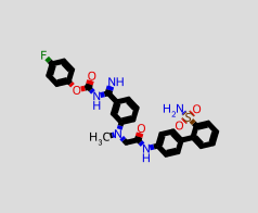 CN(CC(=O)Nc1ccc(-c2ccccc2S(N)(=O)=O)cc1)c1cccc(C(=N)NC(=O)Oc2ccc(F)cc2)c1